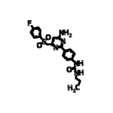 CCCNC(=O)Nc1ccc(-c2nc(N)cc(CS(=O)(=O)c3ccc(F)cc3)n2)cc1